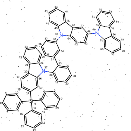 c1ccc([Si](c2ccccc2)(c2ccccc2)c2ccc3c4ccccc4n(-c4ccccc4-c4cccc(-n5c6ccccc6c6cc(-n7c8ccccc8c8ccccc87)ccc65)c4)c3c2)cc1